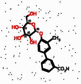 Cc1cc(-c2cccc(C(=O)O)c2)ccc1O[C@H]1O[C@H](CO)[C@@H](O)[C@H](O)[C@@H]1O